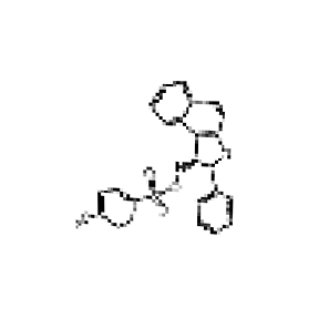 CC1=CC=C(S(=O)(=O)O/N=C2/c3c(ccc4ccccc34)OC2c2ccccc2)CC1